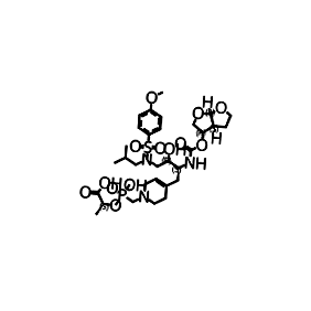 COc1ccc(S(=O)(=O)N(CC(C)C)C[C@@H](O)[C@H](CC2=CCN(CP(=O)(O)O[C@@H](C)C(=O)O)CC2)NC(=O)O[C@H]2CO[C@H]3OCC[C@H]32)cc1